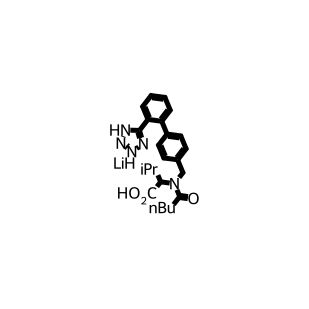 CCCCC(=O)N(Cc1ccc(-c2ccccc2-c2nnn[nH]2)cc1)C(C(=O)O)C(C)C.[LiH]